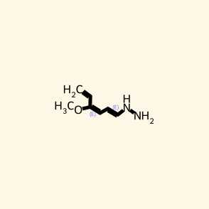 C=C/C(=C\C=C\NN)OC